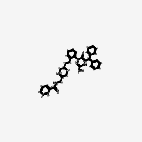 COC(=O)N[C@H](C(=O)Nc1ccccc1CC[C@@H]1CN[C@H](CNC(=O)c2cccnn2)CO1)C(c1ccccc1)c1ccccc1